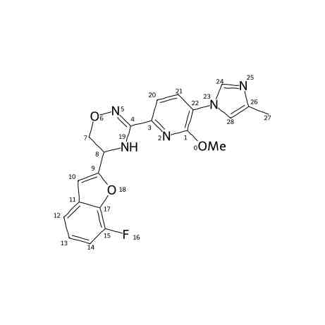 COc1nc(C2=NOCC(c3cc4cccc(F)c4o3)N2)ccc1-n1cnc(C)c1